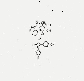 C[C@H]1[C@H](O)[C@@H](O)[C@H](O[C@@H](CC[C@H]2C(=O)N(c3ccc(F)cc3)[C@@H]2c2ccc(O)cc2)c2ccc(F)cc2)O[C@@H]1C(=O)O